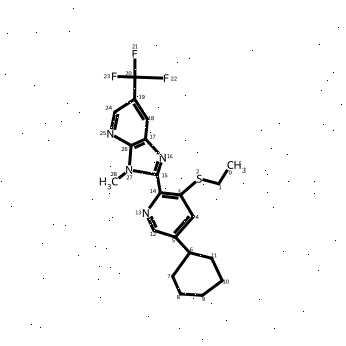 CCSc1cc(C2CCCCC2)cnc1-c1nc2cc(C(F)(F)F)cnc2n1C